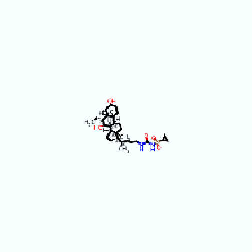 CC[C@H]1[C@@H](O)[C@@H]2[C@H](CC[C@]3(C)[C@@H]([C@H](C)CCCNC(=O)NS(=O)(=O)C4CC4)CC[C@@H]23)[C@@]2(C)CC[C@@H](O)C[C@@H]12